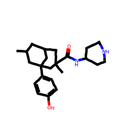 CC1CC2CC(C)(C(=O)NC3CCNCC3)CC(c3ccc(O)cc3)(C1)C2